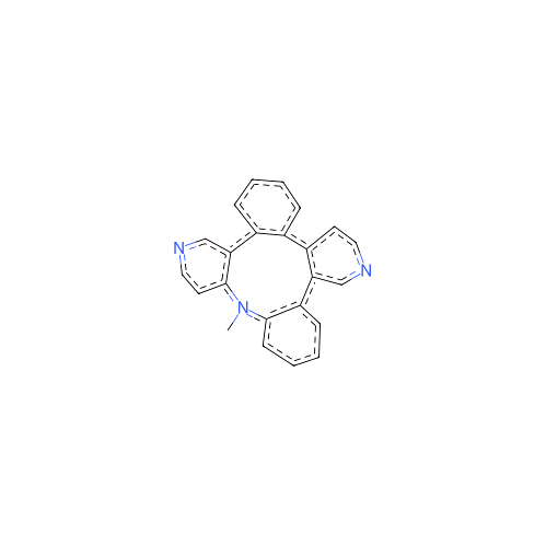 Cn1c2ccccc2c2cnccc2c2ccccc2c2cnccc21